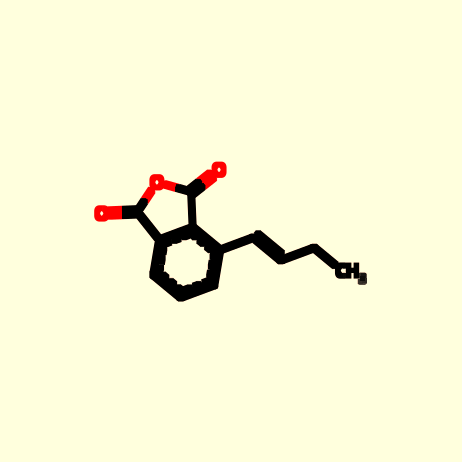 CC/C=C/c1cccc2c1C(=O)OC2=O